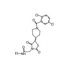 CCNC(=O)CN1C(=O)SC(=C2CCN(C(=O)c3cc(Cl)ccc3Cl)CC2)C1=O